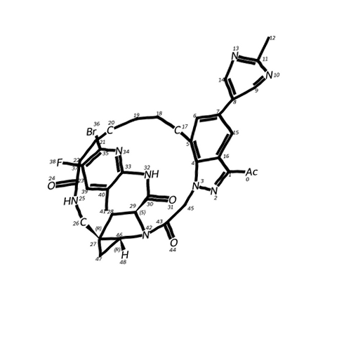 CC(=O)c1nn2c3c(cc(-c4cnc(C)nc4)cc13)CCCCCCC(=O)NC[C@@]13C[C@@H](C(=O)Nc4nc(Br)c(F)cc4C)N(C(=O)C2)[C@@H]1C3